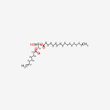 CCCCCCCCCCCCCCCCCC(=O)OC(CO)COC(=O)CCCCCCC